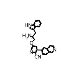 N#Cc1ncc(OC[C@@H](N)Cc2c[nH]c3ccccc23)cc1-c1ccc2cnccc2c1